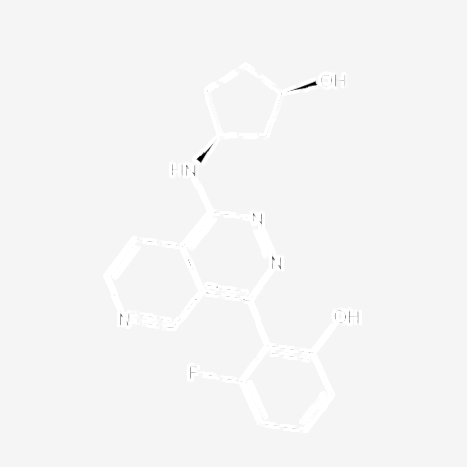 Oc1cccc(F)c1-c1nnc(N[C@H]2CC[C@@H](O)C2)c2ccncc12